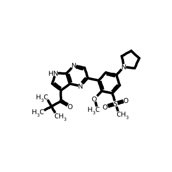 COc1c(-c2cnc3[nH]cc(C(=O)C(C)(C)C)c3n2)cc(N2CCCC2)cc1S(C)(=O)=O